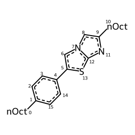 CCCCCCCCc1ccc(-c2cn3cc(CCCCCCCC)nc3s2)cc1